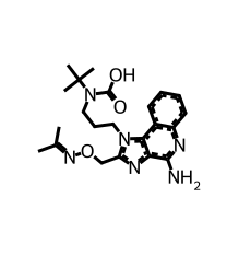 CC(C)=NOCc1nc2c(N)nc3ccccc3c2n1CCCN(C(=O)O)C(C)(C)C